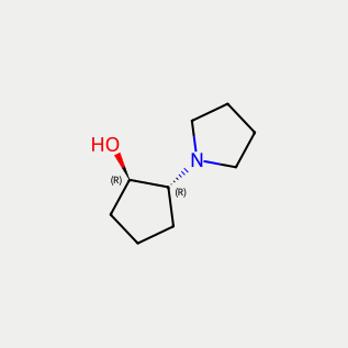 O[C@@H]1CCC[C@H]1N1CCCC1